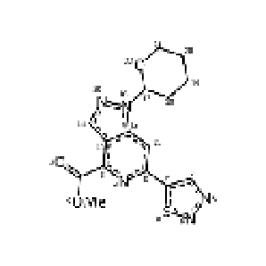 COC(=O)c1nc(-c2cnns2)cc2c1cnn2C1CCCCO1